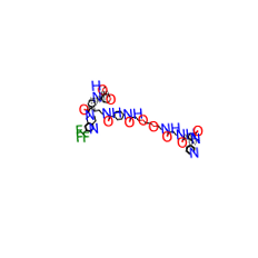 CO[C@H]1COCC[C@H]1N[C@H]1CC[C@@](CCCNC(=O)C2CCC(NC(=O)CCOCCOCCNC(=O)CCNC(=O)[C@H]3CC(=O)N(C)[C@@H]3c3cccnc3)CC2)(C(=O)N2CCc3ncc(C(F)(F)F)cc3C2)C1